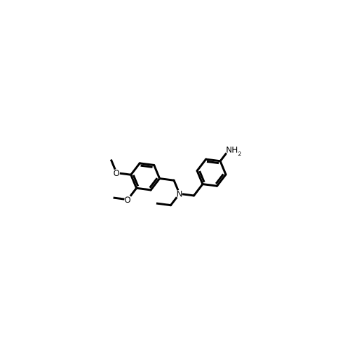 CCN(Cc1ccc(N)cc1)Cc1ccc(OC)c(OC)c1